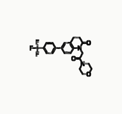 O=C(CN1C(=O)CCc2cc(-c3ccc(C(F)(F)F)cc3)ccc21)N1CCOCC1